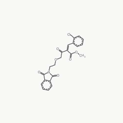 COC(=O)C(=Cc1ccccc1Cl)C(=O)COCCN1C(=O)c2ccccc2C1=O